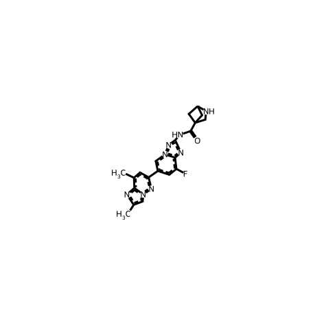 Cc1cn2nc(-c3cc(F)c4nc(NC(=O)C56CNC(C5)C6)nn4c3)cc(C)c2n1